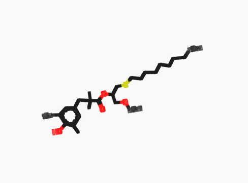 CCCCCCCCCCCCCCCCCCSCC(COCCCCCCCC)OC(=O)C(C)(C)Cc1cc(C)c(O)c(C(C)(C)C)c1